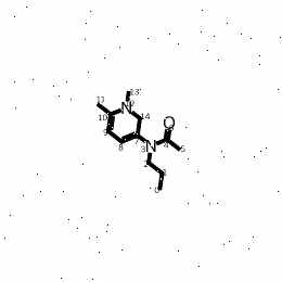 CCCN(C(C)=O)C1=CC=C(C)N(C)C1